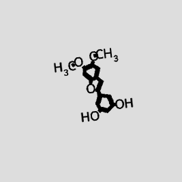 COc1cc2cc(-c3cc(O)cc(O)c3)oc2cc1OC